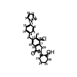 Cc1c(Cc2ccc(-n3cccn3)cc2)cc2c(c1Cl)CN([C@@H]1CCCC[C@H]1O)C2=O